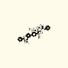 CCO[C@H](C(=O)N1C(=O)OC[C@@H]1Cc1ccccc1)[C@H](O)c1ccc(-c2cccc(CN(C)C(=O)c3ccccc3)c2)cc1